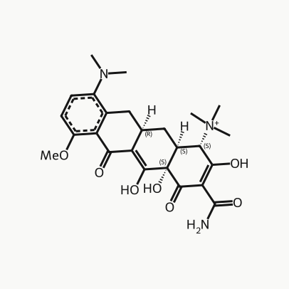 COc1ccc(N(C)C)c2c1C(=O)C1=C(O)[C@]3(O)C(=O)C(C(N)=O)=C(O)[C@@H]([N+](C)(C)C)[C@@H]3C[C@@H]1C2